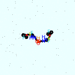 O=[PH](OCCCNCc1cc(F)c(SCCCCC2(c3ccccc3F)CCCCC2)cn1)OCCCNCc1cc(F)c(SCCCCC2(c3ccccc3F)CCCCC2)cn1